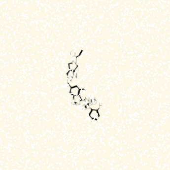 C=CC(=O)N1Cc2cn(Cc3cc(C)c4c(NS(=O)(=O)c5ccccc5F)noc4c3)nc2C1